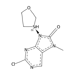 Cn1c(=O)n([Si@H]2CCOC2)c2nc(Cl)ncc21